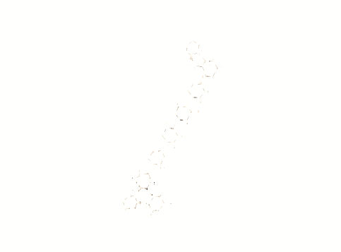 c1ccc2c(c1)sc1c(-c3ccc(-c4ccc(-c5ccc(-c6ccc(-c7cnc8c9ccccc9c9ccccc9c8n7)cc6)cc5)cc4)cc3)cccc12